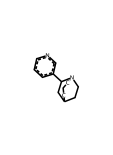 c1cncc(C2CC3CCCN2CC3)c1